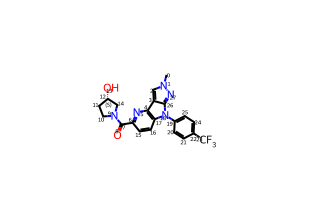 Cn1cc2c3nc(C(=O)N4CC[C@H](O)C4)ccc3n(-c3ccc(C(F)(F)F)cc3)c2n1